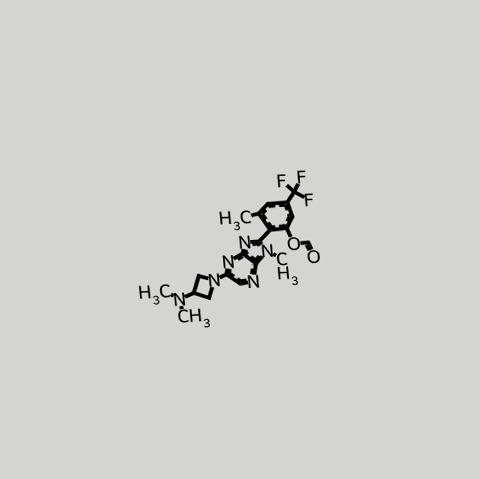 Cc1cc(C(F)(F)F)cc(OC=O)c1-c1nc2nc(N3CC(N(C)C)C3)cnc2n1C